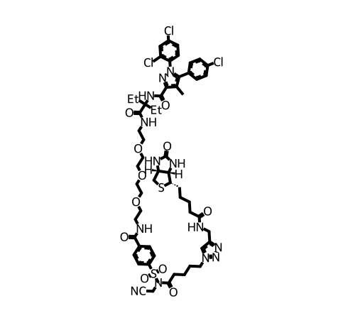 CCC(CC)(NC(=O)c1nn(-c2ccc(Cl)cc2Cl)c(-c2ccc(Cl)cc2)c1C)C(=O)NCCOCCOCCOCCNC(=O)c1ccc(S(=O)(=O)N(CC#N)C(=O)CCCCn2cc(CNC(=O)CCCC[C@@H]3SC[C@@H]4NC(=O)N[C@@H]43)nn2)cc1